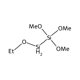 CCO[SiH2][Si](OC)(OC)OC